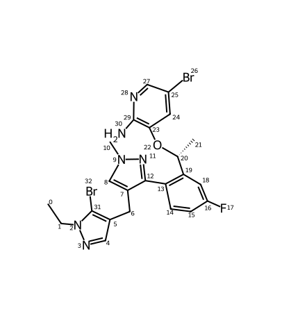 CCn1ncc(Cc2cn(C)nc2-c2ccc(F)cc2[C@@H](C)Oc2cc(Br)cnc2N)c1Br